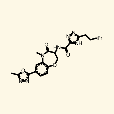 Cc1nnc(-c2ccc3c(c2)N(C)C(=O)C(NC(=O)c2nnc(CCC(C)C)[nH]2)CO3)o1